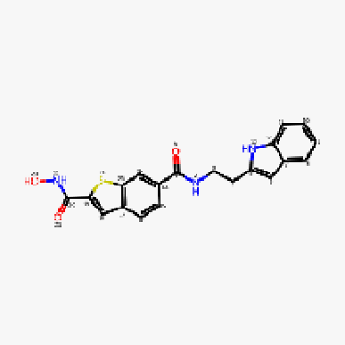 O=C(NCCc1cc2ccccc2[nH]1)c1ccc2cc(C(=O)NO)sc2c1